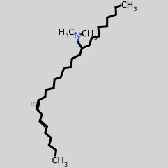 CCCCCC=CC/C=C\CCCCCCCCCC(CCCCCCCCC)CN(C)C